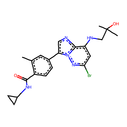 Cc1cc(-c2cnc3c(NCC(C)(C)O)cc(Br)nn23)ccc1C(=O)NC1CC1